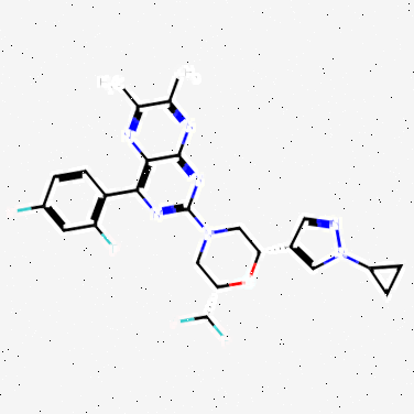 Cc1nc2nc(N3C[C@@H](C(F)F)O[C@@H](c4cnn(C5CC5)c4)C3)nc(-c3ccc(F)cc3F)c2nc1C